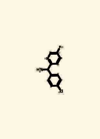 NC(c1ccc(Cl)cc1)c1ccc(F)cn1